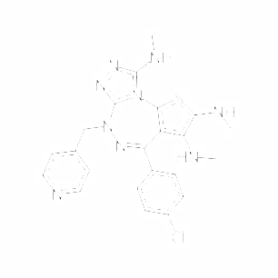 CNc1sc2c(c1NC)C(c1ccc(Cl)cc1)=NN(Cc1ccncc1)c1nnc(NC)n1-2